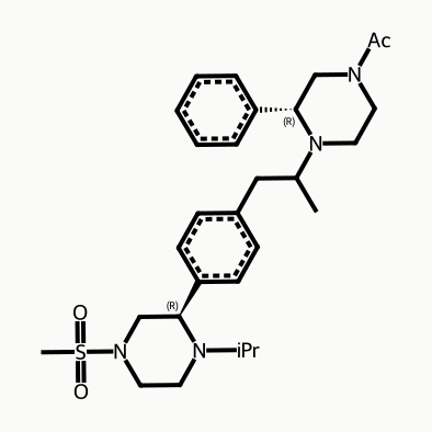 CC(=O)N1CCN(C(C)Cc2ccc([C@@H]3CN(S(C)(=O)=O)CCN3C(C)C)cc2)[C@H](c2ccccc2)C1